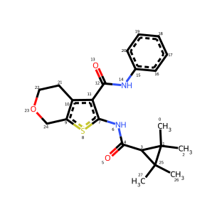 CC1(C)C(C(=O)Nc2sc3c(c2C(=O)Nc2ccccc2)CCOC3)C1(C)C